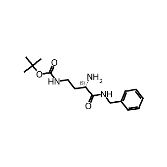 CC(C)(C)OC(=O)NCC[C@H](N)C(=O)NCc1ccccc1